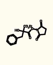 CCOC(=O)C(O)(Cc1ccccc1)C(=O)ON1C(=O)CCC1=O